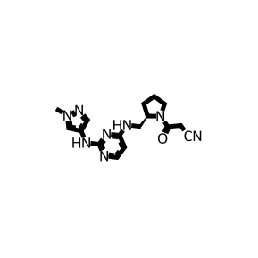 Cn1cc(Nc2nccc(NC[C@H]3CCCN3C(=O)CC#N)n2)cn1